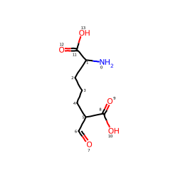 NC(CCCC(C=O)C(=O)O)C(=O)O